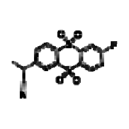 CC(C#N)c1ccc2c(c1)S(=O)(=O)c1ccc(F)cc1S2(=O)=O